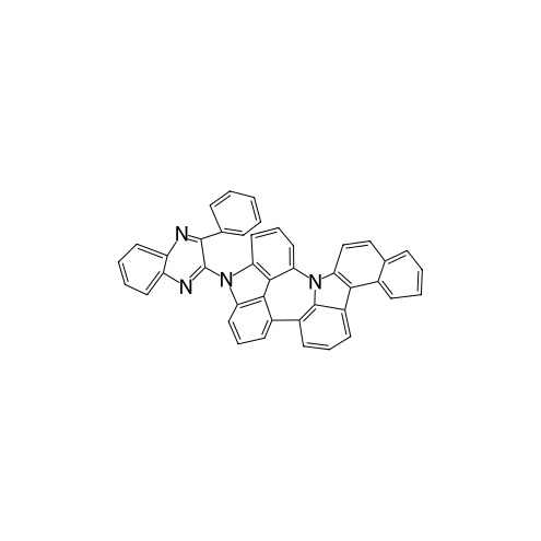 c1ccc(-c2nc3ccccc3nc2-n2c3cccc4c5cccc6c7c8ccccc8ccc7n(c7cccc2c7c43)c56)cc1